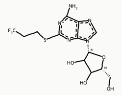 Nc1nc(SCCC(F)(F)F)nc2c1ncn2[C@@H]1O[C@H](CO)C(O)C1O